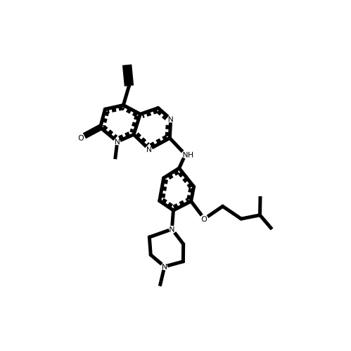 C#Cc1cc(=O)n(C)c2nc(Nc3ccc(N4CCN(C)CC4)c(OCCC(C)C)c3)ncc12